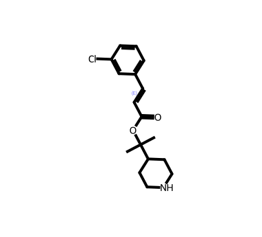 CC(C)(OC(=O)/C=C/c1cccc(Cl)c1)C1CCNCC1